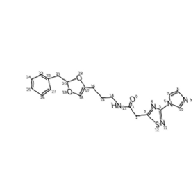 O=C(Cc1nc(-n2ccnc2)ns1)NCCCC1=COC(Cc2ccccc2)O1